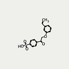 C=Cc1cccc(OCC(=O)c2ccc(S(=O)(=O)O)cc2)c1